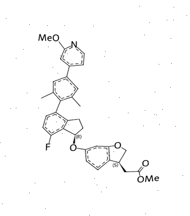 COC(=O)C[C@@H]1COc2cc(O[C@@H]3CCc4c(-c5c(C)cc(-c6ccnc(OC)c6)cc5C)ccc(F)c43)ccc21